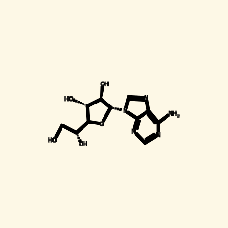 Nc1ncnc2c1ncn2[C@@H]1OC([C@H](O)CO)[C@H](O)[C@H]1O